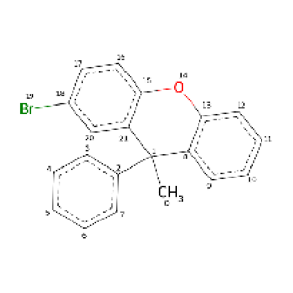 CC1(c2ccccc2)c2ccccc2Oc2ccc(Br)cc21